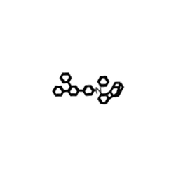 c1ccc(-c2ccc(-c3ccc(N(c4ccccc4)c4cccc5c4C4C6CC7CC(C6)CC54C7)cc3)cc2-c2ccccc2)cc1